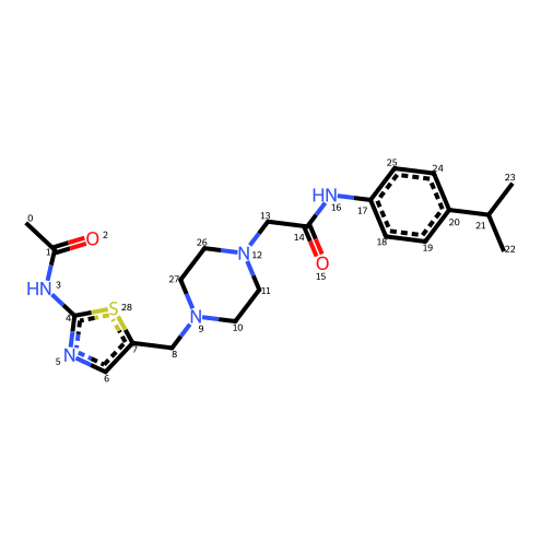 CC(=O)Nc1ncc(CN2CCN(CC(=O)Nc3ccc(C(C)C)cc3)CC2)s1